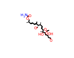 CC(=O)O[C@@H](/C=C/[C@H](C)[C@H](C=O)/C(C)=C/C=C/[C@@H](C)COC(N)=O)[C@@](C)(O)CC[C@H](O)CC=O